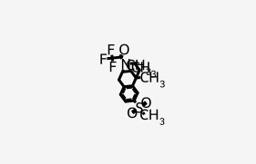 CC12CCN(C(=O)C(F)(F)F)C(Cc3ccc(S(C)(=O)=O)cc31)C2(C)C